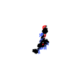 COc1cccc(NC(=O)Cn2cc(-c3ccnc4[nH]ccc34)c(-c3ccc(NCNc4ccccc4)cc3)n2)c1